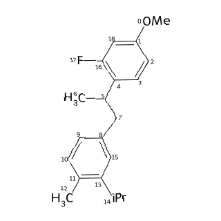 COc1ccc(C(C)Cc2ccc(C)c(C(C)C)c2)c(F)c1